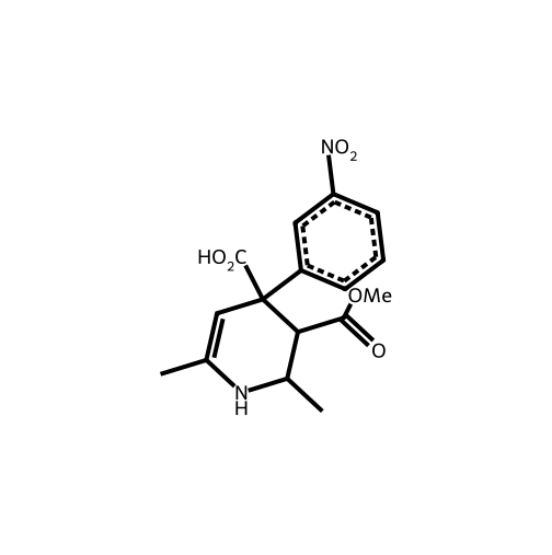 COC(=O)C1C(C)NC(C)=CC1(C(=O)O)c1cccc([N+](=O)[O-])c1